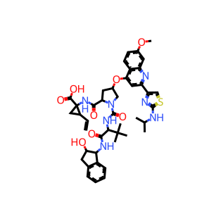 C=CC1CC1(NC(=O)C1CC(Oc2cc(-c3csc(NC(C)C)n3)nc3cc(OC)ccc23)CN1C(=O)NC(C(=O)NC1c2ccccc2CC1O)C(C)(C)C)C(=O)O